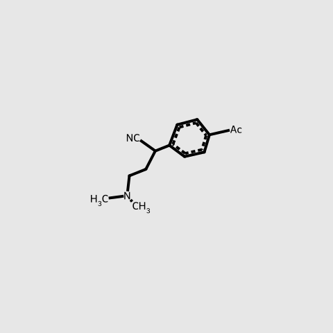 CC(=O)c1ccc(C(C#N)CCN(C)C)cc1